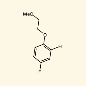 CCc1cc(F)ccc1OCCOC